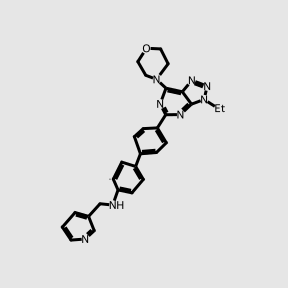 CCn1nnc2c(N3CCOCC3)nc(-c3ccc(-c4c[c]c(NCc5cccnc5)cc4)cc3)nc21